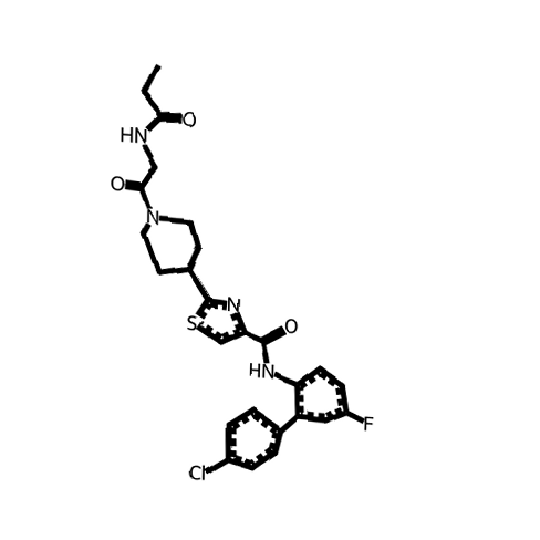 CCC(=O)NCC(=O)N1CCC(c2nc(C(=O)Nc3ccc(F)cc3-c3ccc(Cl)cc3)cs2)CC1